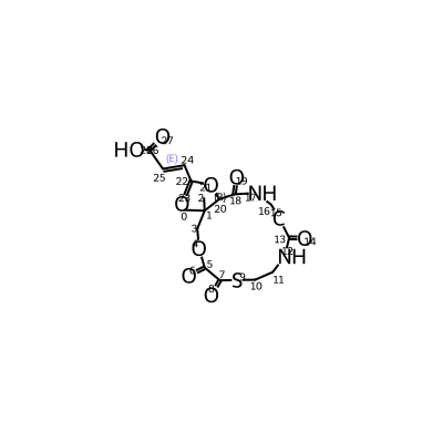 CC1(C)COC(=O)C(=O)SCCNC(=O)CCNC(=O)[C@@H]1OC(=O)/C=C/C(=O)O